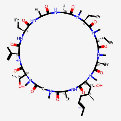 C=C(C)[C@@H]1NC(=O)[C@H]([C@@H](C)O)N(C)C(=O)CN(C)C(=O)[C@H](CC)NC(=O)[C@H]([C@H](O)[C@H](C)C/C=C/C)N(C)C(=O)[C@H](C(C)C)N(C)C(=O)[C@@H](CC(C)C)N(C)C(=O)[C@H](CC(C)C)N(C)C(=O)[C@@H](C)NC(=O)C(CC)NC(=O)[C@H](CC(C)C)NC1=O